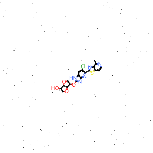 Cc1nccc2sc(-c3nc4nc(O[C@@H]5COC6C5OC[C@H]6O)[nH]c4cc3Cl)nc12